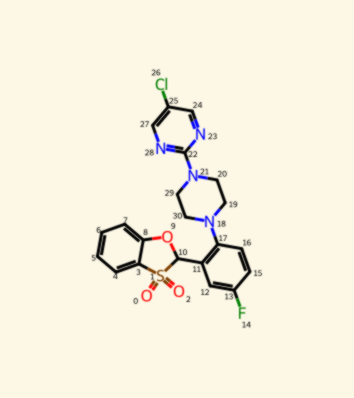 O=S1(=O)c2ccccc2OC1c1cc(F)ccc1N1CCN(c2ncc(Cl)cn2)CC1